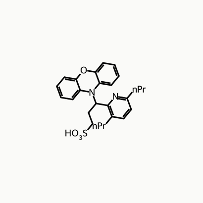 CCCc1ccc(CCC)c(C(CCS(=O)(=O)O)N2c3ccccc3Oc3ccccc32)n1